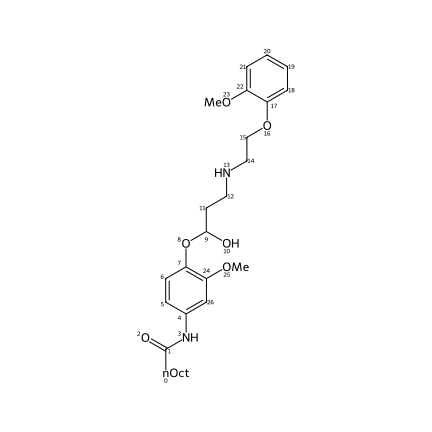 CCCCCCCCC(=O)Nc1ccc(OC(O)CCNCCOc2ccccc2OC)c(OC)c1